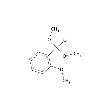 COc1ccccc1C([O])(OC)OC